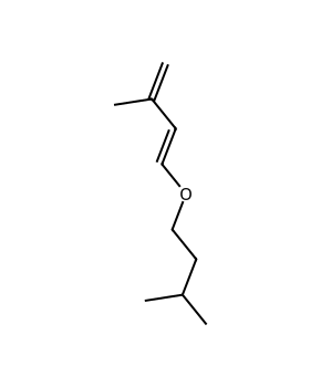 C=C(C)C=COCCC(C)C